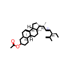 C=C(C)[C@@H](/C=C/[C@@H](C)[C@H]1CC[C@H]2C3=CCC4CC(OC(C)=O)CC[C@]4(C)[C@H]3CC[C@]12C)CC